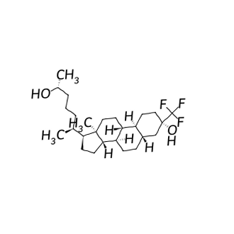 C[C@@H](O)CCC[C@H](C)[C@@H]1CC[C@H]2[C@@H]3CC[C@H]4C[C@](O)(C(F)(F)F)CC[C@@H]4[C@H]3CC[C@@]21C